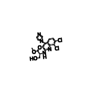 COC(=O)[C@H](CO)Nc1cc(-n2ccnc2)c2ccc(Cl)c(Cl)c2n1